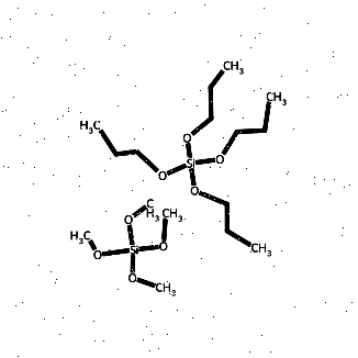 CCCO[Si](OCCC)(OCCC)OCCC.CO[Si](OC)(OC)OC